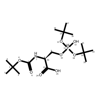 CC(C)(C)OC(=O)N[C@@H](CO[PH](O)(OC(C)(C)C)OC(C)(C)C)C(=O)O